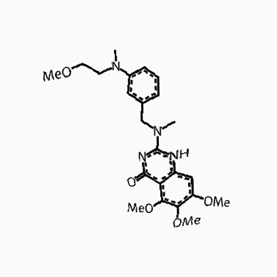 COCCN(C)c1cccc(CN(C)c2nc(=O)c3c(OC)c(OC)c(OC)cc3[nH]2)c1